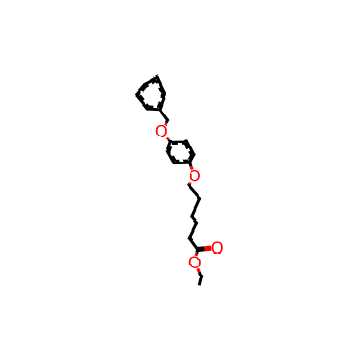 CCOC(=O)CCCCCOc1ccc(OCc2ccccc2)cc1